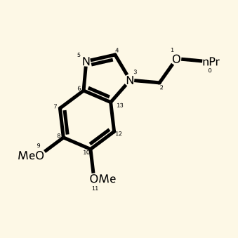 CCCOCn1cnc2cc(OC)c(OC)cc21